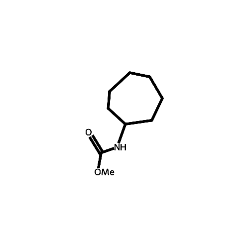 COC(=O)NC1CCCCCC1